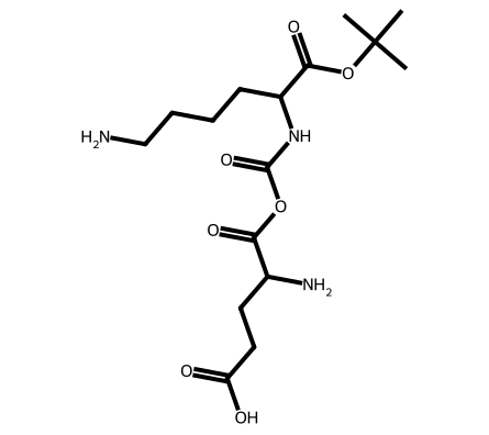 CC(C)(C)OC(=O)C(CCCCN)NC(=O)OC(=O)C(N)CCC(=O)O